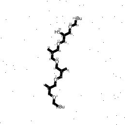 CCC(C)COCC(C)COCC(C)COCC(C)COCC(S)COCC(C)CC